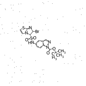 CC(C)(C)OC(=O)n1ncc2cc(NS(=O)(=O)C3C(Br)N=C4SC=CN43)ccc21